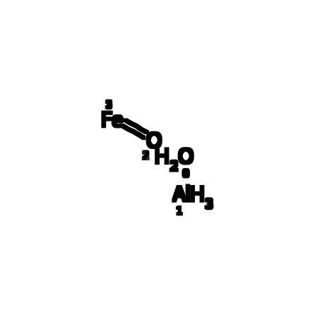 O.[AlH3].[O]=[Fe]